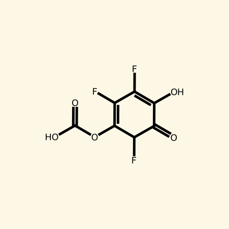 O=C(O)OC1=C(F)C(F)=C(O)C(=O)C1F